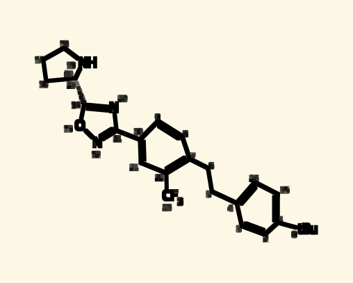 CC(C)(C)c1ccc(CCc2ccc(-c3noc([C@@H]4CCCN4)n3)cc2C(F)(F)F)cc1